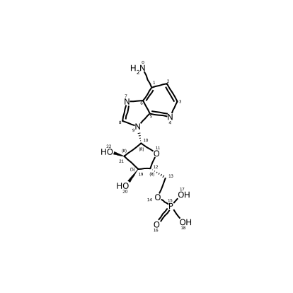 Nc1ccnc2c1ncn2[C@@H]1O[C@H](COP(=O)(O)O)[C@@H](O)[C@H]1O